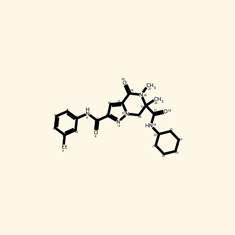 CCc1cccc(NC(=O)c2cc3n(n2)CC(C)(C(=O)NC2CCCCC2)N(C)C3=O)c1